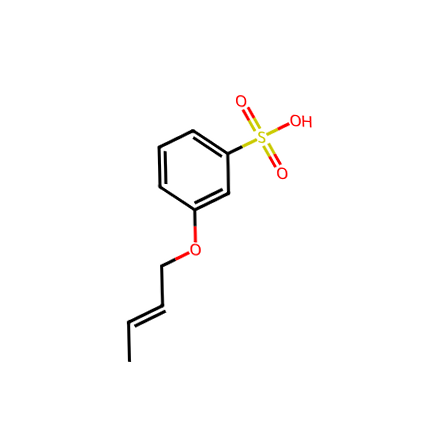 CC=CCOc1cccc(S(=O)(=O)O)c1